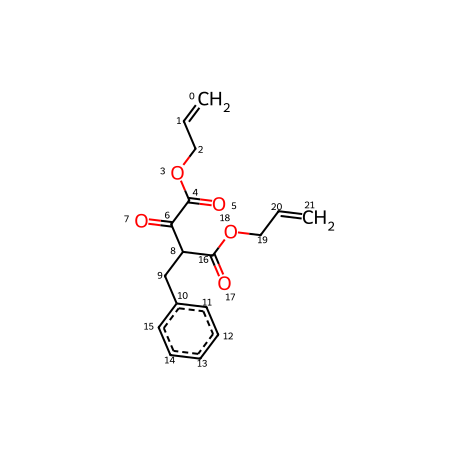 C=CCOC(=O)C(=O)C(Cc1ccccc1)C(=O)OCC=C